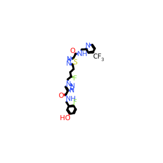 O=C(NCc1cc(O)ccc1F)c1cn(CC(F)CCc2nnc(C(=O)NCc3cc(C(F)(F)F)ccn3)s2)nn1